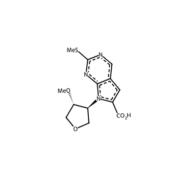 CO[C@H]1COC[C@@H]1n1c(C(=O)O)cc2cnc(SC)nc21